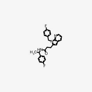 CC(NC(=O)CCc1cc2cccnc2n1Cc1ccc(F)cc1)c1ccc(F)cc1